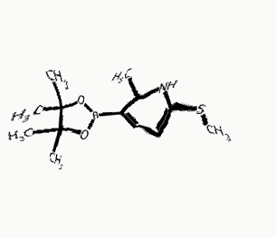 CSC1=CC=C(B2OC(C)(C)C(C)(C)O2)C(C)N1